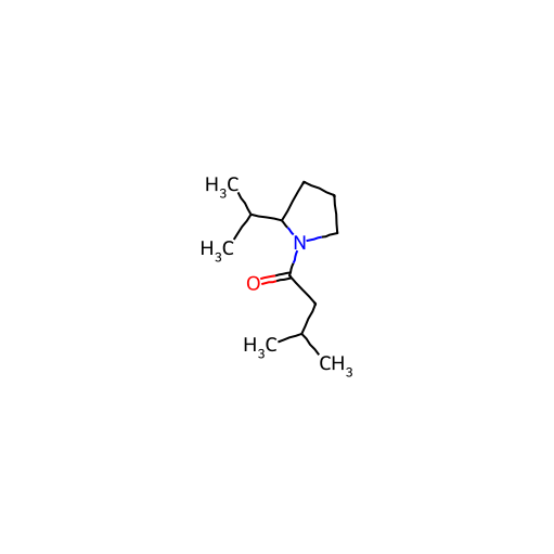 CC(C)CC(=O)N1CCCC1C(C)C